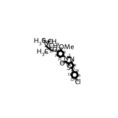 COc1cc(-n2cnc3cc(-c4ccc(Cl)cc4)sc3c2=O)ccc1OCC(C)(C)CN(C)C